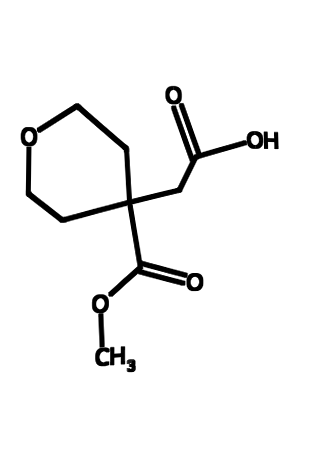 COC(=O)C1(CC(=O)O)CCOCC1